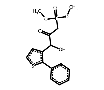 COP(=O)(CC(=O)C(O)c1ccsc1-c1ccccc1)OC